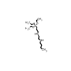 CCCCNCCNCCC[Si](OCC)(OCC)OCC